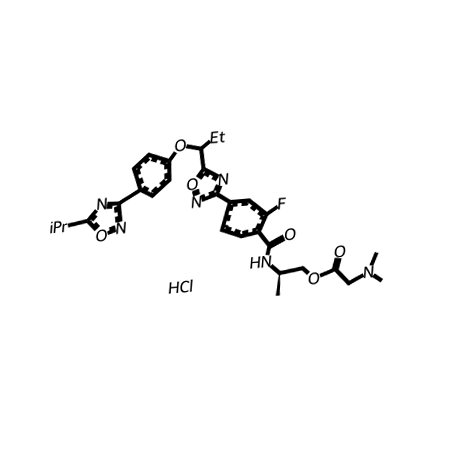 CCC(Oc1ccc(-c2noc(C(C)C)n2)cc1)c1nc(-c2ccc(C(=O)N[C@H](C)COC(=O)CN(C)C)c(F)c2)no1.Cl